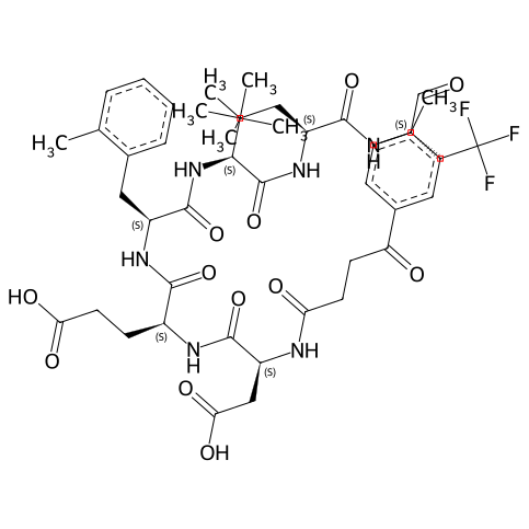 Cc1ccc(C(=O)CCC(=O)N[C@@H](CC(=O)O)C(=O)N[C@@H](CCC(=O)O)C(=O)N[C@@H](Cc2ccccc2C)C(=O)N[C@H](C(=O)N[C@@H](CC(C)C)C(=O)N[C@H](C=O)CC(F)(F)F)C(C)(C)C)cc1